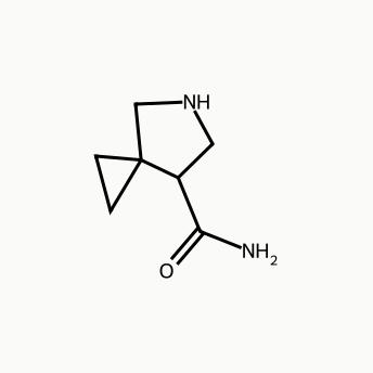 NC(=O)C1CNCC12CC2